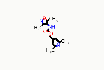 Cc1cc(COC(=O)Nc2c(C)noc2C)cc(C)n1